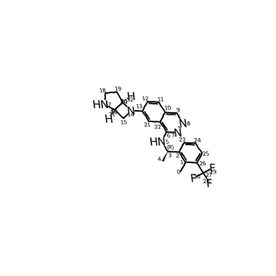 Cc1c([C@@H](C)Nc2nncc3ccc(N4C[C@H]5NCC[C@H]54)cc23)cccc1C(F)(F)F